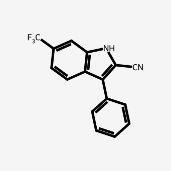 N#Cc1[nH]c2cc(C(F)(F)F)ccc2c1-c1ccccc1